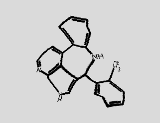 FC(F)(F)c1ccccc1C1Nc2ccccc2-c2ccnc3[nH]cc1c23